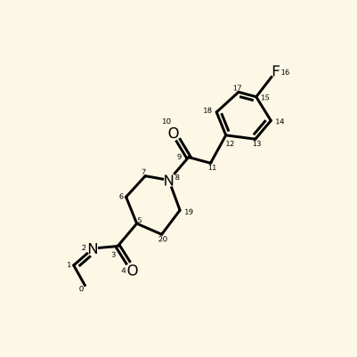 C/C=N\C(=O)C1CCN(C(=O)Cc2ccc(F)cc2)CC1